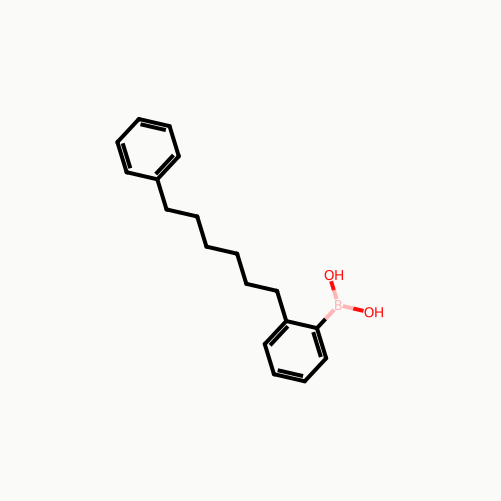 OB(O)c1ccccc1CCCCCCc1ccccc1